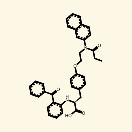 CCC(=O)N(CCOc1ccc(C[C@H](Nc2ccccc2C(=O)c2ccccc2)C(=O)O)cc1)c1ccc2ccccc2c1